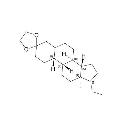 CC[C@H]1CC[C@H]2[C@@H]3CCC4CC5(CC[C@H]4[C@H]3CC[C@]12C)OCCO5